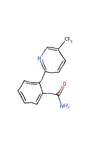 NC(=O)c1ccccc1-c1ccc(C(F)(F)F)cn1